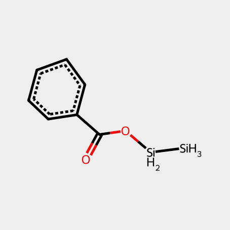 O=C(O[SiH2][SiH3])c1ccccc1